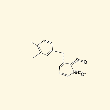 Cc1ccc(CC2=CC=C[NH+]([O-])C2=S=O)cc1C